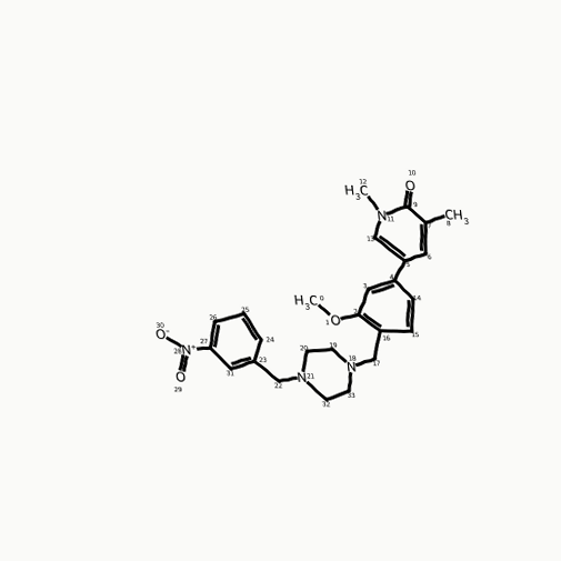 COc1cc(-c2cc(C)c(=O)n(C)c2)ccc1CN1CCN(Cc2cccc([N+](=O)[O-])c2)CC1